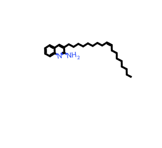 CCCCCCCC/C=C\CCCCCCCCc1cc2ccccc2nc1N